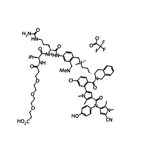 CNCc1cc(NC(=O)[C@H](CCCNC(N)=O)NC(=O)[C@@H](NC(=O)CCOCCOCCOCCC(=O)O)C(C)C)ccc1C[N+](C)(C)CCC[C@@H]1Cc2ccccc2CN1C(=O)c1ccc(Cl)cc1-c1cc(C(=O)N(c2ccc(O)cc2)c2cc(C#N)n(C)c2C)c(C)n1C.O=C([O-])C(F)(F)F